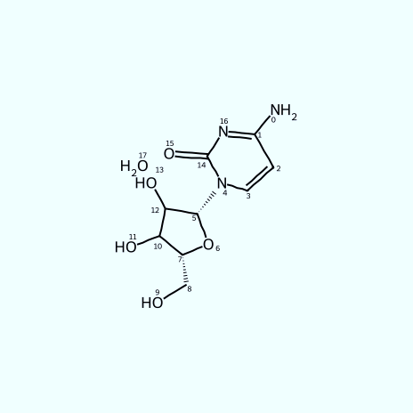 Nc1ccn([C@@H]2O[C@H](CO)C(O)C2O)c(=O)n1.O